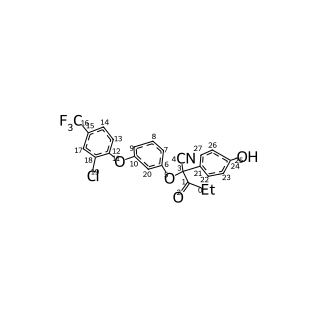 CCC(=O)C(C#N)(Oc1cccc(Oc2ccc(C(F)(F)F)cc2Cl)c1)c1ccc(O)cc1